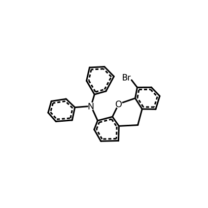 Brc1cccc2c1Oc1c(cccc1N(c1ccccc1)c1ccccc1)C2